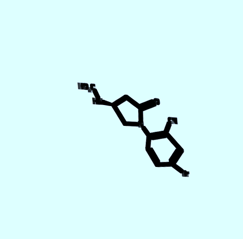 N#Cc1cc(Br)ccc1N1C[C@@H](NC(=O)O)CC1=O